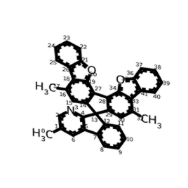 Cc1cnc2c(c1)-c1ccccc1C21c2cc(C)c3c(oc4ccccc43)c2-c2c1cc(C)c1c2oc2ccccc21